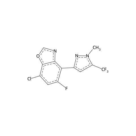 Cn1nc(-c2c(F)cc(Cl)c3ocnc23)cc1C(F)(F)F